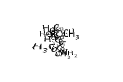 COc1cc(Br)c[n+](N)c1C.Cc1cc(C)c(S(=O)(=O)O)c(C)c1